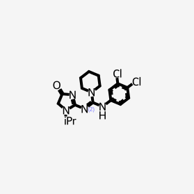 CC(C)N1CC(=O)N=C1/N=C(/Nc1ccc(Cl)c(Cl)c1)N1CCCCC1